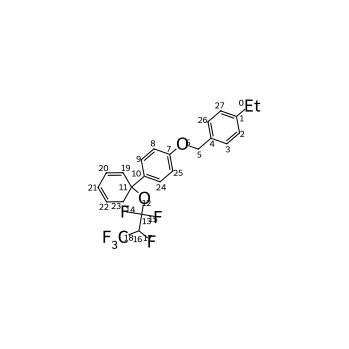 CCc1ccc(COc2ccc(C3(OC(F)(F)C(F)C(F)(F)F)C=CC=CC3)cc2)cc1